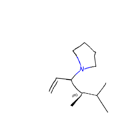 C=CC([C@H](C)C(C)C)N1CCCC1